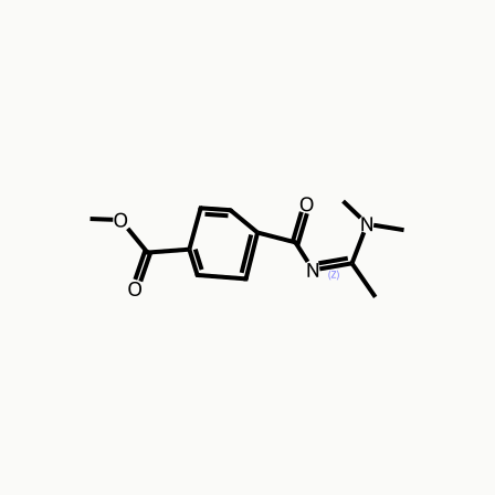 COC(=O)c1ccc(C(=O)/N=C(/C)N(C)C)cc1